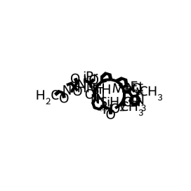 C=CC(=O)N1CCC2(C1)OCN([C@H](C(=O)N[Si@H]1Cc3cccc(c3)-c3ccc4c(c3)c(c(-c3cccnc3[C@H](C)OC)n4CC)CC(C)(C)COC(=O)[C@@H]3CCCN(N[SiH2]3)C1=O)C(C)C)C2=O